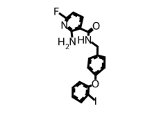 Nc1nc(F)ccc1C(=O)NCc1ccc(Oc2ccccc2I)cc1